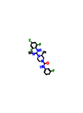 CC(C)C1CN(C(=O)Nc2cccc(F)c2)CCN1/C(=N/C#N)Nc1c(F)cc(F)cc1F